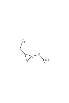 CC(C)CC1OC1CC(=O)O